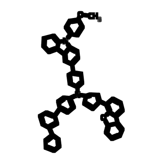 COc1ccc(-n2c3ccccc3c3cc(-c4ccc(N(c5ccc(-c6cccc(-c7ccccc7)c6)cc5)c5ccc(-c6cccc7c6oc6ccccc67)cc5)cc4)ccc32)cc1